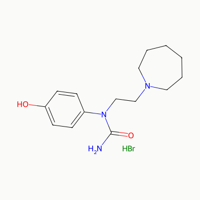 Br.NC(=O)N(CCN1CCCCCC1)c1ccc(O)cc1